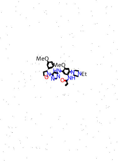 C=CC(=O)Nc1cc(Nc2cc(N3OCC[C@@H]3c3cccc(OC)c3)ncn2)c(OC)cc1N1CCN(CC)CC1